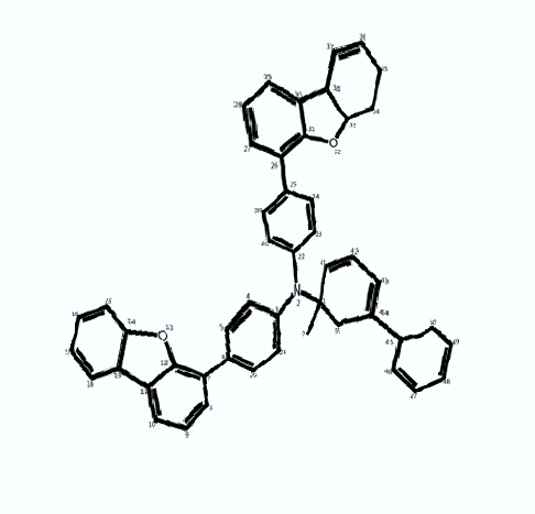 CC1(N(c2ccc(-c3cccc4c3OC3C=CC=CC43)cc2)c2ccc(-c3cccc4c3OC3CCC=CC43)cc2)C=CC=C(C2C=CC=CC2)C1